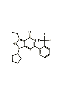 CCc1[nH]n(C2CCCC2)c2nc(-c3ccccc3C(F)(F)F)nc(=O)c1-2